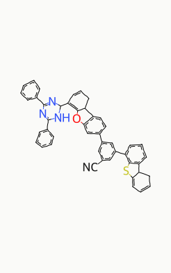 N#Cc1cc(-c2ccc3c(c2)OC2=C(C4N=C(c5ccccc5)N=C(c5ccccc5)N4)C=CCC23)cc(-c2cccc3c2SC2=CC=CCC23)c1